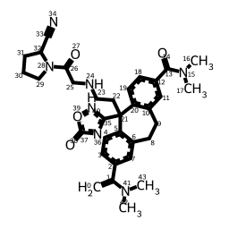 C=C(c1ccc2c(c1)CCc1cc(C(=O)N(C)C)ccc1C2(CCNCC(=O)N1CCCC1C#N)c1nc(=O)o[nH]1)N(C)C